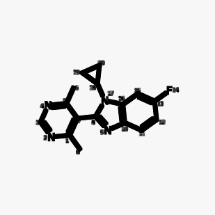 Cc1ncnc(C)c1-c1nc2ccc(F)cc2n1C1CC1